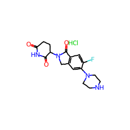 Cl.O=C1CCC(N2Cc3cc(N4CCNCC4)c(F)cc3C2=O)C(=O)N1